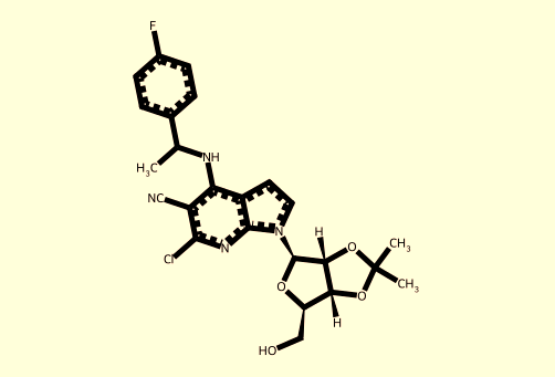 CC(Nc1c(C#N)c(Cl)nc2c1ccn2[C@@H]1O[C@H](CO)[C@H]2OC(C)(C)O[C@H]21)c1ccc(F)cc1